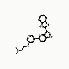 CN(C)CCOc1cncc(-c2ccc3[nH]nc(-c4nc5cccnc5[nH]4)c3n2)c1